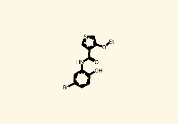 CCOc1cscc1C(=O)Nc1cc(Br)ccc1O